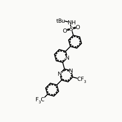 CC(C)(C)NS(=O)(=O)c1cccc(-c2cccc(-c3nc(-c4ccc(C(F)(F)F)cc4)cc(C(F)(F)F)n3)n2)c1